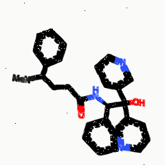 CNC(CCC(=O)N[C@H](c1ccccc1)C(O)(c1cccnc1)c1cccnc1)c1ccccc1